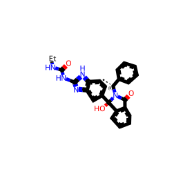 CCNC(=O)Nc1nc2cc(C3(O)c4ccccc4C(=O)N3[C@H](C)c3ccccc3)ccc2[nH]1